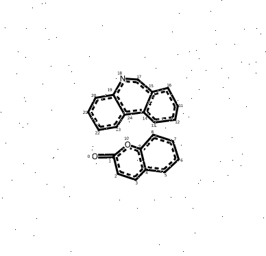 O=c1ccc2ccccc2o1.c1ccc2c(c1)cnc1ccccc12